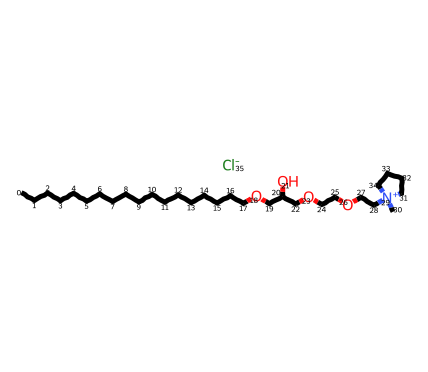 CCCCCCCCCCCCCCCCCCOCC(O)COCCOCC[N+]1(C)CCCC1.[Cl-]